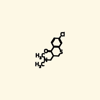 CN(C)CC1CSc2cc(Cl)ccc2C1=O